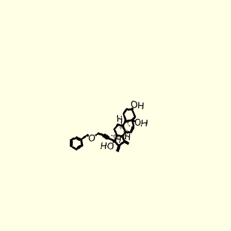 C=C1C(=C)C(O)(C#CCOCc2ccccc2)[C@@]2(C)CC[C@@H]3[C@@H](C=CC4(O)CC(O)CC[C@]34C)[C@H]12